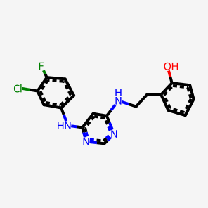 Oc1ccccc1CCNc1cc(Nc2ccc(F)c(Cl)c2)ncn1